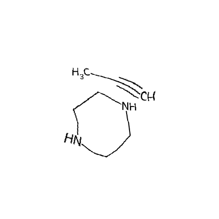 C#CC.C1CNCCN1